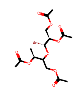 CC(=O)OCC(O[C@H](Br)[C@@H](COC(C)=O)OC(C)=O)[C@H](C)OC(C)=O